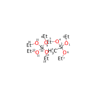 CCO[Si](C)(OCC)OCC.CCO[Si](OCC)(OCC)OCC